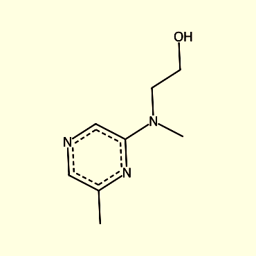 Cc1cncc(N(C)CCO)n1